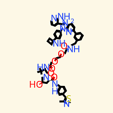 Cc1ncsc1-c1ccc(CNC(=O)[C@@H]2C[C@@H](O)CN2C(=O)[C@@H](NC(=O)COCCOCC(=O)NCCc2cccc(-c3ccc4nc(-c5cccnc5N)n(-c5ccc(C6(N)CCC6)cc5)c4n3)c2)C(C)(C)C)cc1